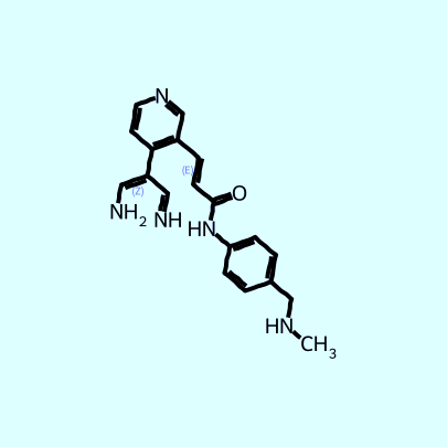 CNCc1ccc(NC(=O)/C=C/c2cnccc2/C(C=N)=C/N)cc1